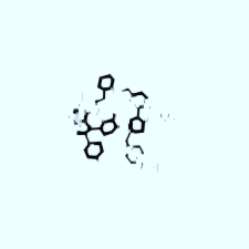 COc1ccccc1-c1nccc(COc2ccccc2CC(C=O)Oc2ncnn3cc(-c4ccc(F)cc4)c(-c4ccc(OCCN5CCN(C)CC5)c(Cl)c4C)c23)n1